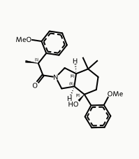 COc1ccccc1[C@H](C)C(=O)N1C[C@@H]2[C@H](C1)[C@@](O)(c1ccccc1OC)CCC2(C)C